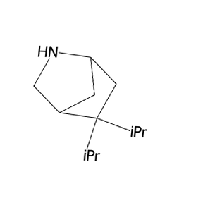 CC(C)C1(C(C)C)CC2CC1CN2